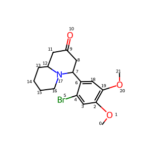 COc1cc(Br)c(C2CC(=O)CC3CCCCN32)cc1OC